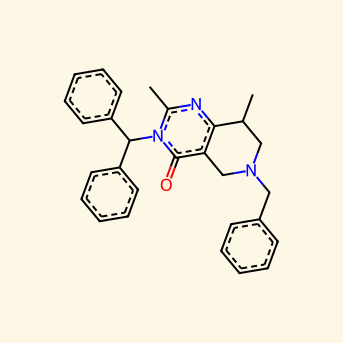 Cc1nc2c(c(=O)n1C(c1ccccc1)c1ccccc1)CN(Cc1ccccc1)CC2C